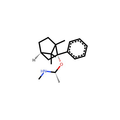 CN[C@@H](C)O[C@]1(c2ccccc2)C[C@H]2CCC1(C)C2(C)C